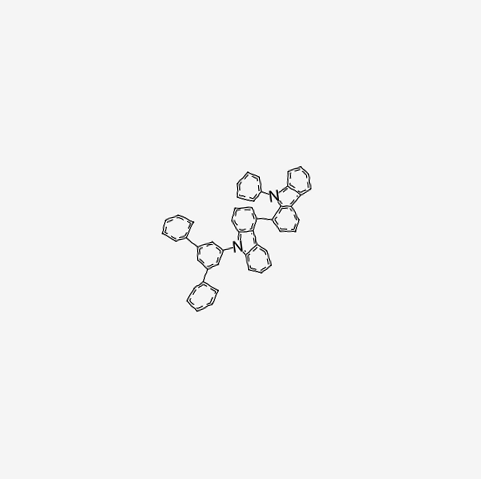 c1ccc(-c2cc(-c3ccccc3)cc(-n3c4ccccc4c4c(-c5cccc6c7ccccc7n(-c7ccccc7)c56)cccc43)c2)cc1